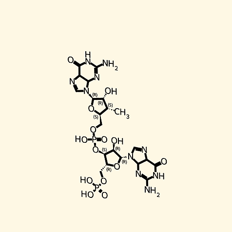 C[C@H]1[C@@H](O)[C@H](N2C=NC3C(=O)NC(N)=NC32)O[C@@H]1COP(=O)(O)O[C@H]1[C@@H](O)[C@H](N2C=NC3C(=O)NC(N)=NC32)O[C@@H]1COP(=O)(O)O